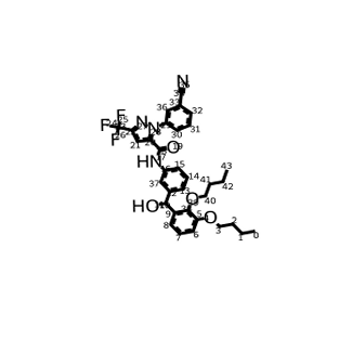 CCCCOc1cccc(C(O)c2cccc(NC(=O)c3cc(C(F)(F)F)nn3-c3cccc(C#N)c3)c2)c1OCCCC